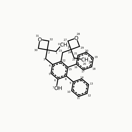 CCC1(Cc2cc(O)c(-c3ccccc3)c(-c3ccccc3)c2CC2(CC)COC2)COC1